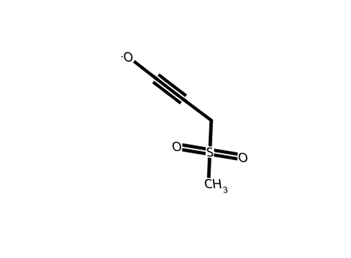 CS(=O)(=O)CC#C[O]